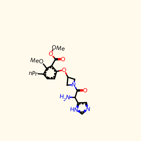 CCCc1ccc(OC2CN(C(=O)C(N)c3cnc[nH]3)C2)c(C(=O)OOC)c1OC